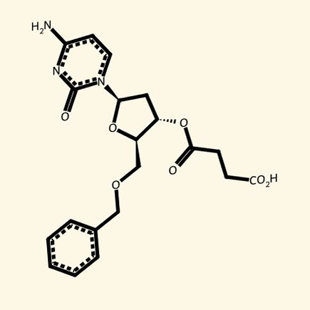 Nc1ccn([C@H]2C[C@H](OC(=O)CCC(=O)O)[C@@H](COCc3ccccc3)O2)c(=O)n1